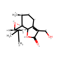 C[C@H]1CCC2=C(CO)C(=O)O[C@]23CC(C)(C)[C@@H]2O[C@@]123